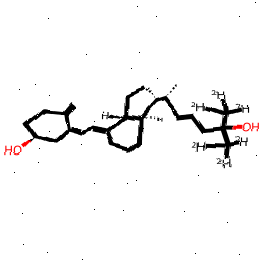 [2H]C([2H])([2H])C(O)(CCC[C@@H](C)[C@H]1CC[C@H]2/C(=C/C=C3/C[C@@H](O)CCC3=C)CCC[C@]12C)C([2H])([2H])[2H]